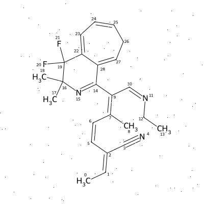 C\C=C(C#N)/C=C\C(C)=C(\C=N/CC)C1=NC(C)(C)C(F)(F)C2=CC=CCC=C21